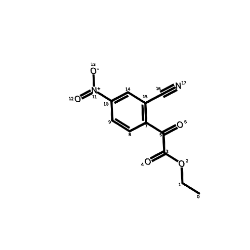 CCOC(=O)C(=O)c1ccc([N+](=O)[O-])cc1C#N